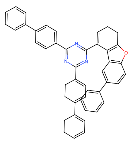 C1=CCCC(C2=CC=C(c3nc(C4=CCCc5oc6ccc(-c7ccccc7)cc6c54)nc(-c4ccc(-c5ccccc5)cc4)n3)CC2)=C1